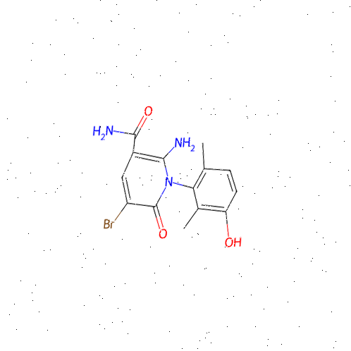 Cc1ccc(O)c(C)c1-n1c(N)c(C(N)=O)cc(Br)c1=O